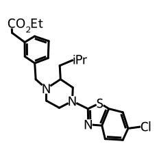 CCOC(=O)Cc1cccc(CN2CCN(c3nc4ccc(Cl)cc4s3)CC2CC(C)C)c1